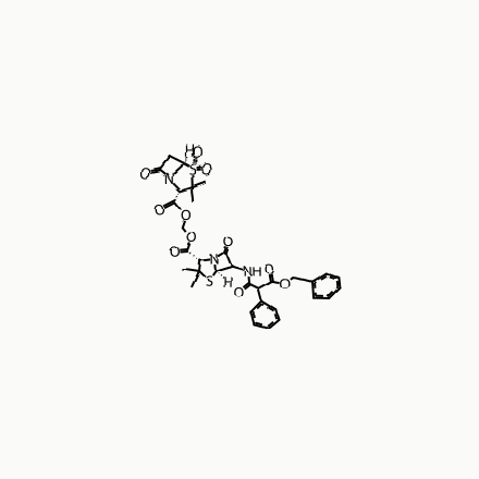 CC1(C)S[C@@H]2C(NC(=O)C(C(=O)OCc3ccccc3)c3ccccc3)C(=O)N2[C@H]1C(=O)OCOC(=O)[C@@H]1N2C(=O)C[C@H]2S(=O)(=O)C1(C)C